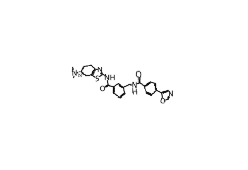 CN(C)[C@H]1CCc2nc(NC(=O)c3cccc(CNC(=O)c4ccc(-c5cnco5)cc4)c3)sc2C1